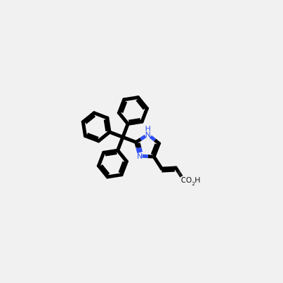 O=C(O)/C=C/c1c[nH]c(C(c2ccccc2)(c2ccccc2)c2ccccc2)n1